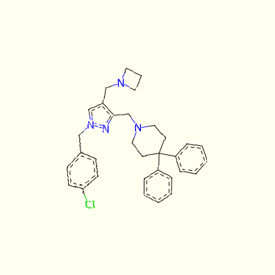 Clc1ccc(Cn2cc(CN3CCC3)c(CN3CCC(c4ccccc4)(c4ccccc4)CC3)n2)cc1